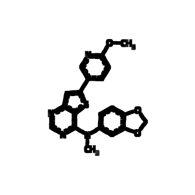 COc1ccc(-c2cc3ncnc(N(C)c4ccc5c(c4)OCO5)c3s2)cn1